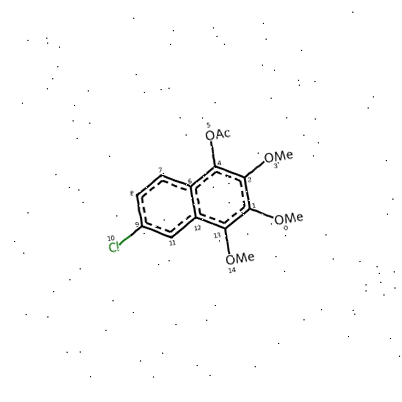 COc1c(OC)c(OC(C)=O)c2ccc(Cl)cc2c1OC